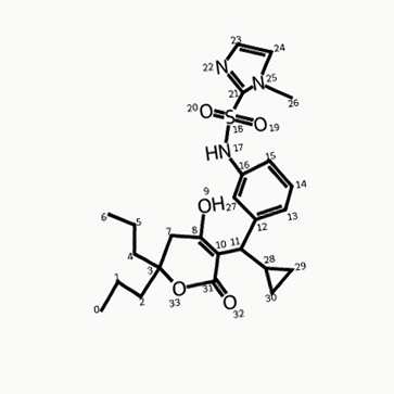 CCCC1(CCC)CC(O)=C(C(c2cccc(NS(=O)(=O)c3nccn3C)c2)C2CC2)C(=O)O1